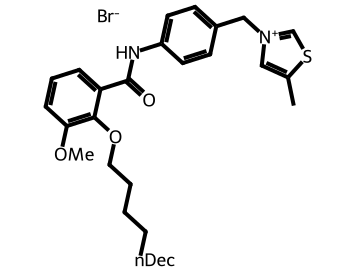 CCCCCCCCCCCCCCOc1c(OC)cccc1C(=O)Nc1ccc(C[n+]2csc(C)c2)cc1.[Br-]